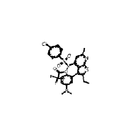 CCc1sc2nc(C)cc(N(OC(=O)C(F)(F)F)S(=O)(=O)c3ccc(Cl)cc3)c2c1-c1cccc(N(C)C)c1